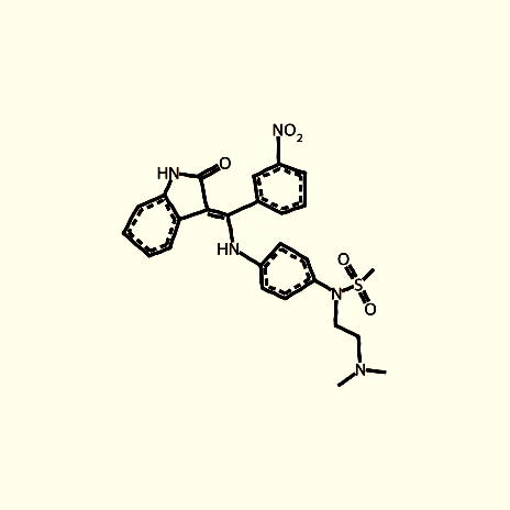 CN(C)CCN(c1ccc(NC(=C2C(=O)Nc3ccccc32)c2cccc([N+](=O)[O-])c2)cc1)S(C)(=O)=O